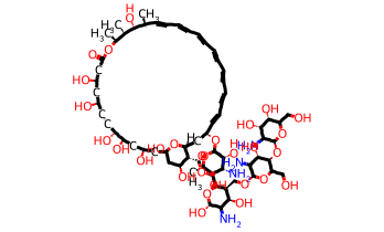 C[C@@H]1[C@H](O)[C@@H](C)/C=C/C=C/C=C/C=C/C=C/C=C/C=C/[C@H](OC2O[C@@H](C)[C@H](O)[C@@H](N)[C@H]2O)C[C@@H]2O[C@](O)(C[C@@H](O)C[C@@H](O)[C@H](O)CC[C@@H](O)C[C@@H](O)CC(=O)O[C@H]1C)C[C@H](O)[C@H]2C(=O)OCC1O[C@@H](O)C(N)[C@H](O)[C@@H]1CO[C@@H]1OC(CO)[C@@H](O[C@@H]2OC(CO)[C@@H](O)[C@@H](O)C2N)[C@@H](O)C1N